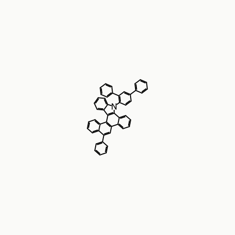 c1ccc(-c2ccc(-n3c4ccccc4c4c5c6ccccc6c(-c6ccccc6)cc5c5ccccc5c43)c(-c3ccccc3)c2)cc1